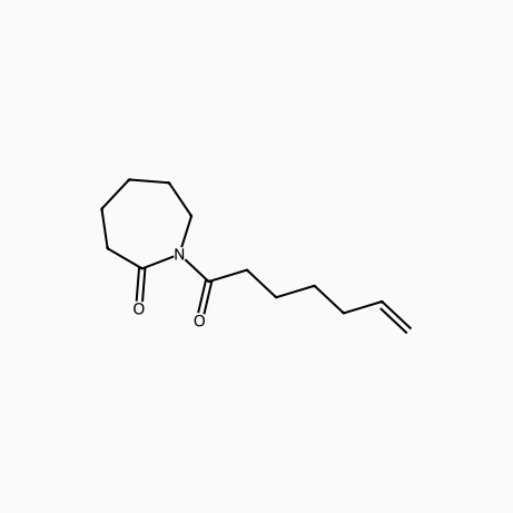 C=CCCCCC(=O)N1CCCCCC1=O